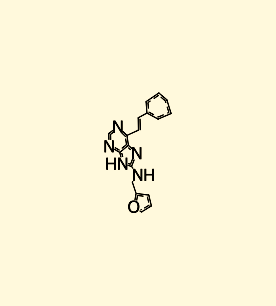 C(=C\c1ncnc2[nH]c(NCc3ccco3)nc12)/c1ccccc1